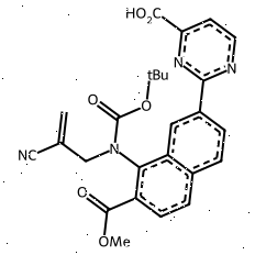 C=C(C#N)CN(C(=O)OC(C)(C)C)c1c(C(=O)OC)ccc2ccc(-c3nccc(C(=O)O)n3)cc12